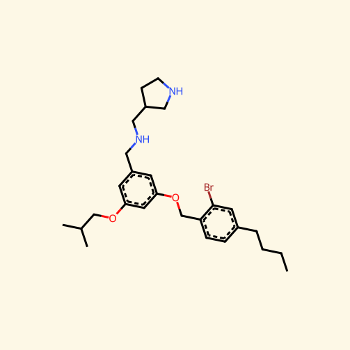 CCCCc1ccc(COc2cc(CNCC3CCNC3)cc(OCC(C)C)c2)c(Br)c1